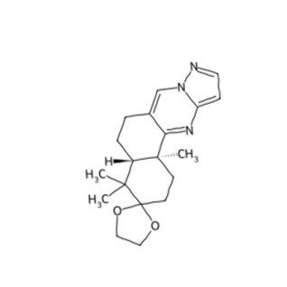 CC1(C)[C@@H]2CCc3cn4nccc4nc3[C@@]2(C)CCC12OCCO2